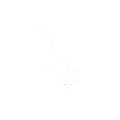 CCCCCCCCCCCCOC(=O)C(C)NS(C)(=O)=O.Cl